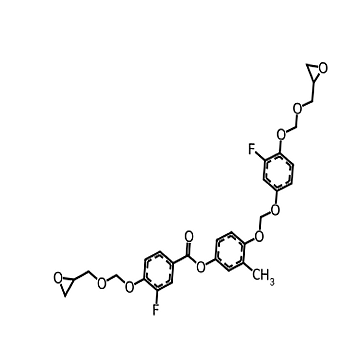 Cc1cc(OC(=O)c2ccc(OCOCC3CO3)c(F)c2)ccc1OCOc1ccc(OCOCC2CO2)c(F)c1